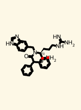 N=C(N)NCCC[C@@H](C(N)=O)N(Cc1ccc2[nH]cnc2c1)C(=O)C(c1ccccc1)c1ccccc1